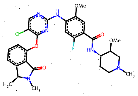 COc1cc(C(=O)N[C@@H]2CCN(C)C[C@@H]2OC)c(F)cc1Nc1ncc(Cl)c(Oc2cccc3c2C(=O)N(C)[C@H]3C)n1